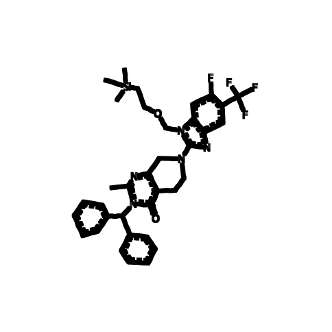 Cc1nc2c(c(=O)n1C(c1ccccc1)c1ccccc1)CCN(c1nc3cc(C(F)(F)F)c(F)cc3n1COCC[Si](C)(C)C)C2